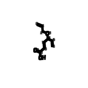 C=CCOC(C=C)C=CC(=O)O